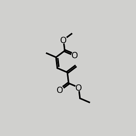 C=C(C=C(C)C(=O)OC)C(=O)OCC